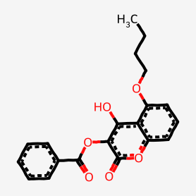 CCCCOc1cccc2oc(=O)c(OC(=O)c3ccccc3)c(O)c12